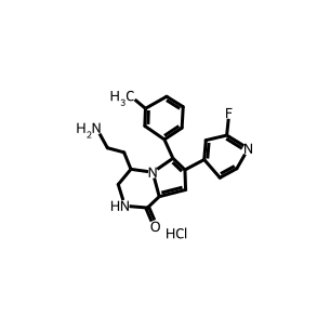 Cc1cccc(-c2c(-c3ccnc(F)c3)cc3n2C(CCN)CNC3=O)c1.Cl